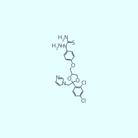 NC(=S)N(N)c1ccc(OCC2COC(Cn3ccnc3)(c3ccc(Cl)cc3Cl)O2)cc1